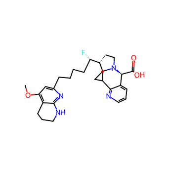 COc1cc(CCCC[C@H](F)[C@@H]2CCN([C@@H](C(=O)O)c3cccnc3C3CC3)C2)nc2c1CCCN2